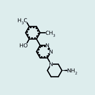 Cc1cc(C)c(-c2ccc(N3CCC[C@H](N)C3)nn2)c(O)c1